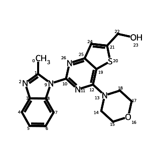 Cc1nc2ccccc2n1-c1nc(N2CCOCC2)c2sc(CO)cc2n1